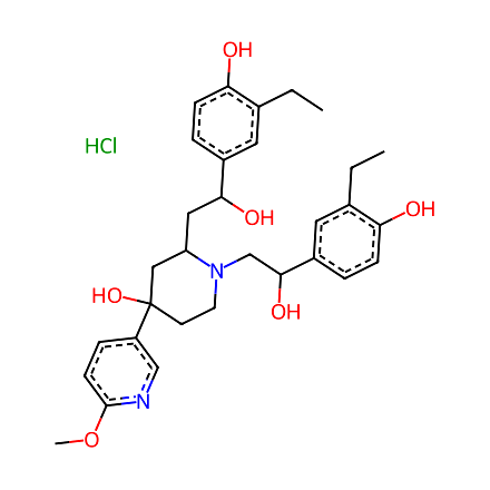 CCc1cc(C(O)CC2CC(O)(c3ccc(OC)nc3)CCN2CC(O)c2ccc(O)c(CC)c2)ccc1O.Cl